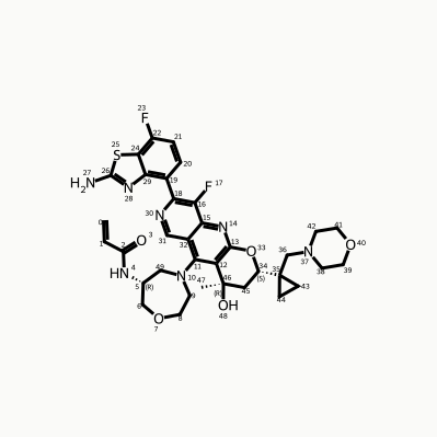 C=CC(=O)N[C@H]1COCCN(c2c3c(nc4c(F)c(-c5ccc(F)c6sc(N)nc56)ncc24)O[C@H](C2(CN4CCOCC4)CC2)C[C@@]3(C)O)C1